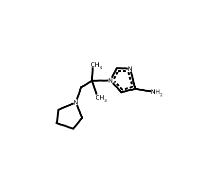 CC(C)(CN1CCCC1)n1cnc(N)c1